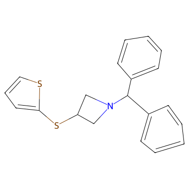 c1ccc(C(c2ccccc2)N2CC(Sc3cccs3)C2)cc1